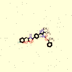 Cc1c(NC(=O)OC(C)c2ccccc2)c(-c2ccc(C(=O)N[C@H](Cc3ccc(F)cc3)C(=O)O)cc2)nn1C